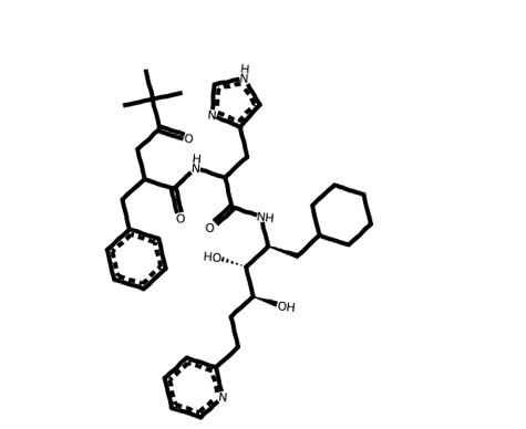 CC(C)(C)C(=O)CC(Cc1ccccc1)C(=O)NC(Cc1c[nH]cn1)C(=O)N[C@@H](CC1CCCCC1)[C@@H](O)[C@@H](O)CCc1ccccn1